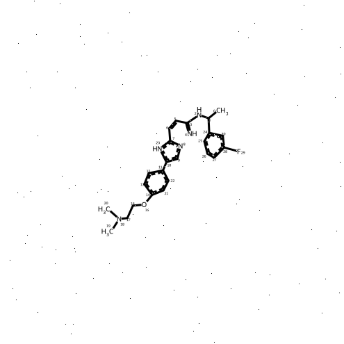 CC(NC(=N)/C=C\c1ncc(-c2ccc(OCCN(C)C)cc2)[nH]1)c1cccc(F)c1